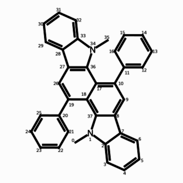 Cn1c2ccccc2c2cc(-c3ccccc3)c3c(c(-c4ccccc4)cc4c5ccccc5n(C)c43)c21